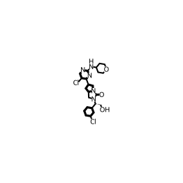 O=C1N([C@H](CO)c2cccc(Cl)c2)Cc2cc(-c3nc(NC4CCOCC4)ncc3Cl)cn21